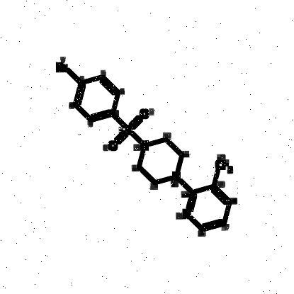 O=S(=O)(c1ccc(Br)cc1)N1CCN(c2ncccc2C(F)(F)F)CC1